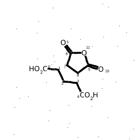 O=C(O)CCCC(=O)O.O=C1CCC(=O)O1